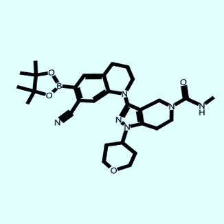 CNC(=O)N1CCc2c(c(N3CCCc4cc(B5OC(C)(C)C(C)(C)O5)c(C#N)cc43)nn2C2CCOCC2)C1